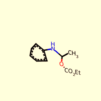 CCOC(=O)OC(C)Nc1ccccc1